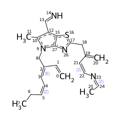 C=C/C(=C\C=C/CC)Cn1c(C)c(C=N)c2sc(CC(=C)/C=C\N=C/C)nc21